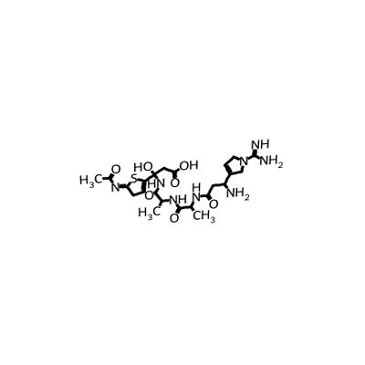 CC(=O)N=C1CC=C(C(O)(CC(=O)O)NC(=O)C(C)NC(=O)C(C)NC(=O)CC(N)C2=CCN(C(=N)N)C2)S1